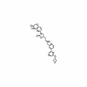 O=C1COc2ccc(N3CC(CCNCc4cc(-c5cncc(OC6COC6)n5)ccn4)OC3=O)nc2N1